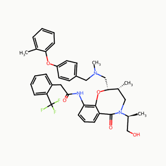 Cc1ccccc1Oc1ccc(CN(C)C[C@H]2Oc3c(NC(=O)Cc4ccccc4C(F)(F)F)cccc3C(=O)N([C@@H](C)CO)C[C@H]2C)cc1